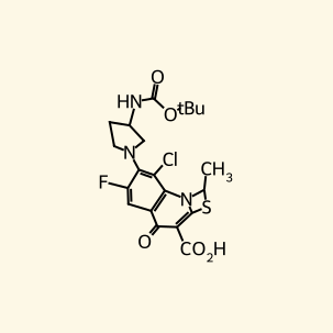 CC1Sc2c(C(=O)O)c(=O)c3cc(F)c(N4CCC(NC(=O)OC(C)(C)C)C4)c(Cl)c3n21